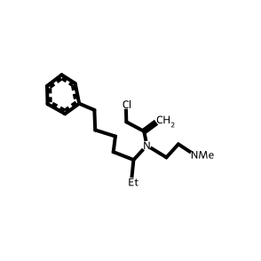 C=C(CCl)N(CCNC)C(CC)CCCCc1ccccc1